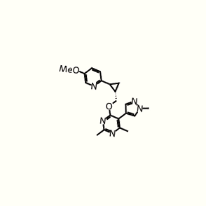 COc1ccc(C2C[C@@H]2COc2nc(C)nc(C)c2-c2cnn(C)c2)nc1